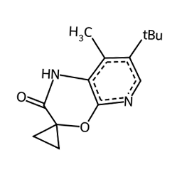 Cc1c(C(C)(C)C)cnc2c1NC(=O)C1(CC1)O2